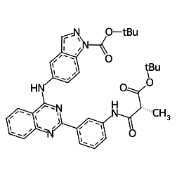 C[C@H](C(=O)Nc1cccc(-c2nc(Nc3ccc4c(cnn4C(=O)OC(C)(C)C)c3)c3ccccc3n2)c1)C(=O)OC(C)(C)C